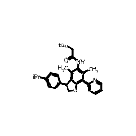 Cc1c(NC(=O)CC(C)(C)C)c(C)c2c(c1-c1ccccn1)OCC2c1ccc(C(C)C)cc1